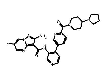 Nc1nn2cc(F)cnc2c1C(=O)Nc1cnccc1-c1ccc(C(=O)N2CCC(N3CCCC3)CC2)nc1